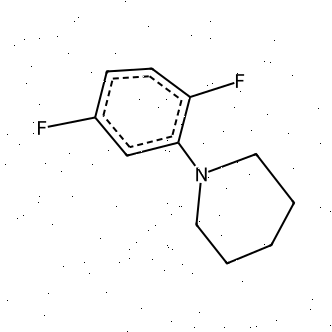 Fc1ccc(F)c(N2CCCCC2)c1